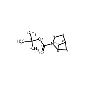 CC(C)(C)OC(=O)N1CCC2CC1C2